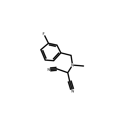 CN(Cc1cccc(F)c1)C(C#N)C#N